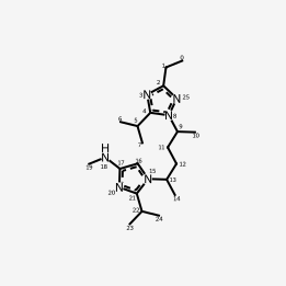 CCc1nc(C(C)C)n(C(C)CCC(C)n2cc(NC)nc2C(C)C)n1